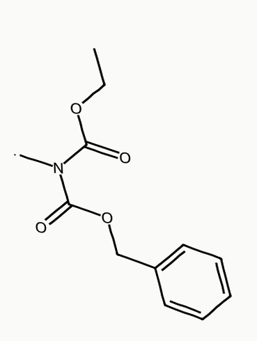 [CH2]N(C(=O)OCC)C(=O)OCc1ccccc1